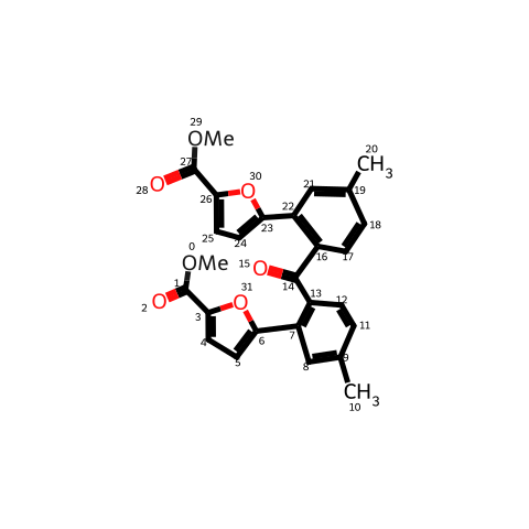 COC(=O)c1ccc(-c2cc(C)ccc2C(=O)c2ccc(C)cc2-c2ccc(C(=O)OC)o2)o1